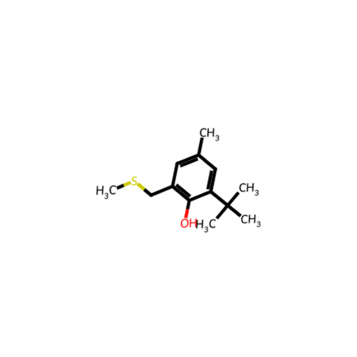 CSCc1cc(C)cc(C(C)(C)C)c1O